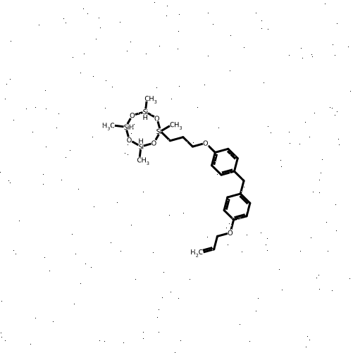 C=CCOc1ccc(Cc2ccc(OCCC[Si]3(C)O[SiH](C)O[SiH](C)O[SiH](C)O3)cc2)cc1